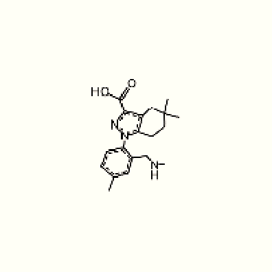 CNCc1cc(C)ccc1-n1nc(C(=O)O)c2c1CCC(C)(C)C2